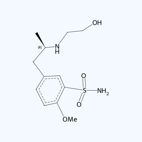 COc1ccc(C[C@@H](C)NCCO)cc1S(N)(=O)=O